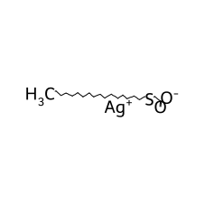 CCCCCCCCCCCCCCCCCCSCC(=O)[O-].[Ag+]